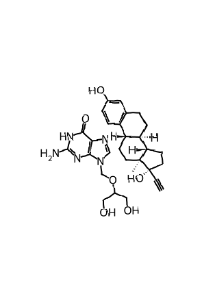 C#C[C@]1(O)CC[C@H]2[C@@H]3CCc4cc(O)ccc4[C@H]3CC[C@@]21C.Nc1nc2c(ncn2COC(CO)CO)c(=O)[nH]1